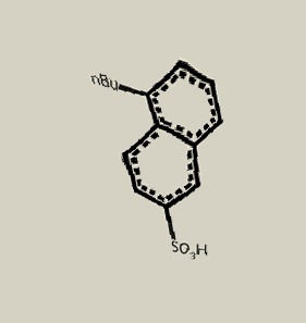 CCCCc1cccc2cc(S(=O)(=O)O)ccc12